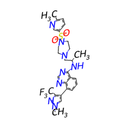 Cc1ccc(S(=O)(=O)N2CCN(CC(C)Nc3ncnc4c(-c5cn(C)nc5C(F)(F)F)cccc34)CC2)cn1